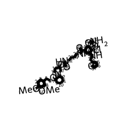 COc1ccc(CCO[C@@H]2CCCC[C@H]2N2CC[C@@H](OC(=O)NCCCCNC(=O)c3cc(NCc4ccco4)c(Cl)c(S(N)(=O)=O)c3)C2)cc1OC